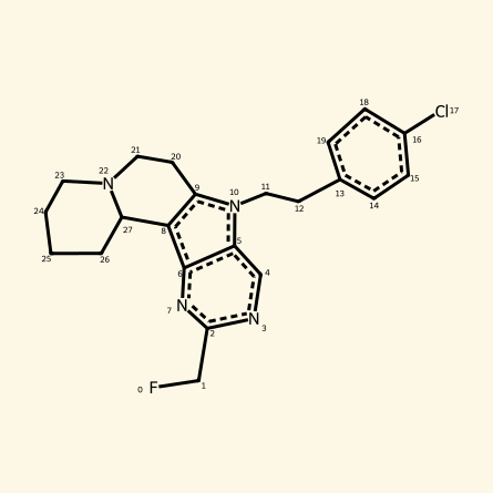 FCc1ncc2c(n1)c1c(n2CCc2ccc(Cl)cc2)CCN2CCCCC12